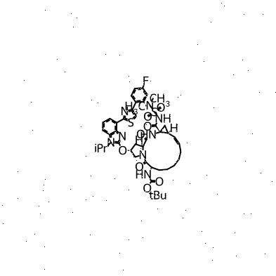 CC(C)n1c(O[C@@H]2C[C@H]3C(=O)N[C@]4(C(=O)NS(=O)(=O)N(C)C)C[C@H]4/C=C\CCCCC[C@H](NC(=O)OC(C)(C)C)C(=O)N3C2)nc2c(-c3nc(-c4ccc(F)cc4)cs3)cccc21